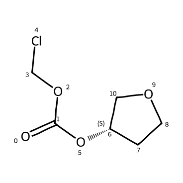 O=C(OCCl)O[C@H]1CCOC1